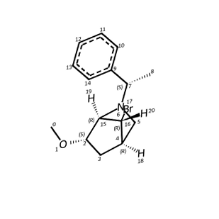 CO[C@H]1C[C@@H]2CN([C@@H](C)c3ccccc3)[C@H]1[C@@H]2Br